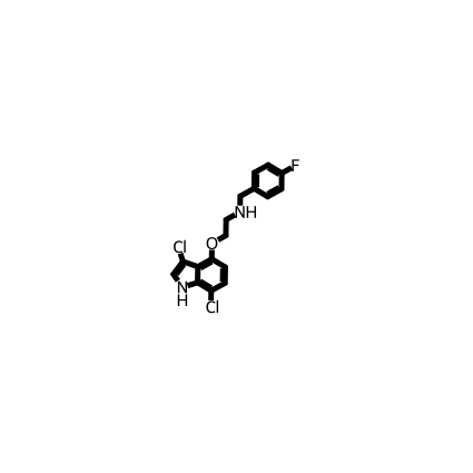 Fc1ccc(CNCCOc2ccc(Cl)c3[nH]cc(Cl)c23)cc1